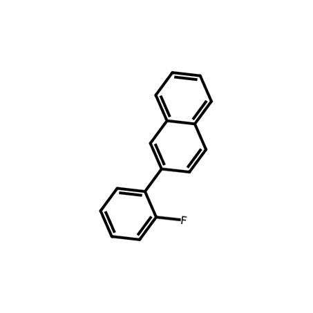 Fc1ccccc1-c1ccc2ccccc2c1